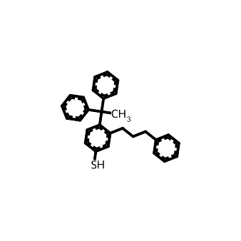 CC(c1ccccc1)(c1ccccc1)c1ccc(S)cc1CCCc1ccccc1